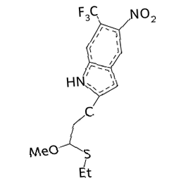 CCSC(CCc1cc2cc([N+](=O)[O-])c(C(F)(F)F)cc2[nH]1)OC